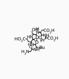 CC[C@H](C)[C@H](NC(=O)CN)C(=O)N[C@@H](CCC(=O)O)C(=O)N[C@@H](CO)C(=O)N[C@@H](CC(=O)O)C(=O)N[C@H](C(=O)O)C(C)C